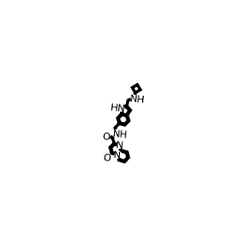 O=C(NCc1ccc2cc(CNC3CCC3)[nH]c2c1)c1cc(=O)n2ccccc2n1